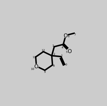 C=CC1(CC(=O)OC)CCOCC1